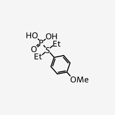 CCS(CC)(c1ccc(OC)cc1)P(=O)(O)O